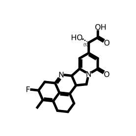 CC1=C2CCCC3=C2C(=NC2c4cc([C@H](O)C(=O)O)cc(=O)n4CC32)CC1F